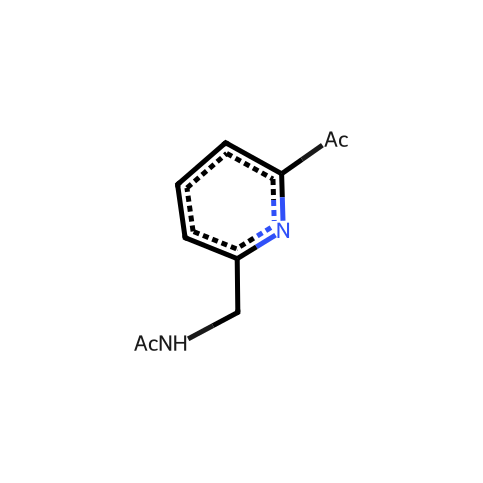 CC(=O)NCc1cccc(C(C)=O)n1